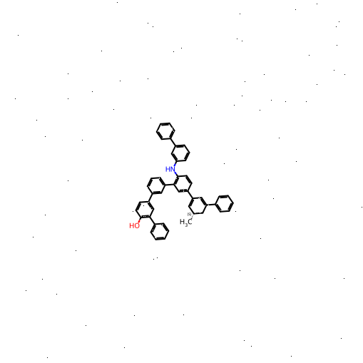 C[C@@H]1C=C(c2ccc(Nc3cccc(-c4ccccc4)c3)c(-c3cccc(-c4ccc(O)c(-c5ccccc5)c4)c3)c2)C=C(c2ccccc2)C1